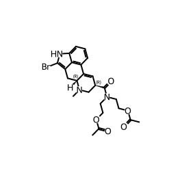 CC(=O)OCCN(CCOC(C)=O)C(=O)[C@@H]1C=C2c3cccc4[nH]c(Br)c(c34)C[C@H]2N(C)C1